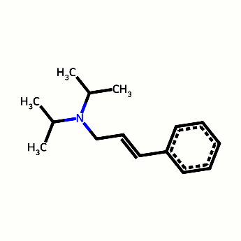 CC(C)N(C/C=C/c1ccccc1)C(C)C